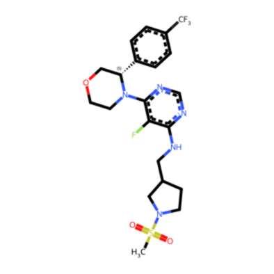 CS(=O)(=O)N1CCC(CNc2ncnc(N3CCOC[C@@H]3c3ccc(C(F)(F)F)cc3)c2F)C1